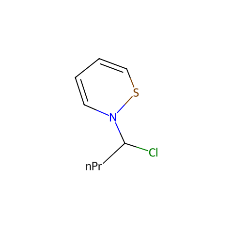 CCCC(Cl)N1C=CC=CS1